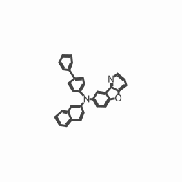 c1ccc(-c2ccc(N(c3ccc4ccccc4c3)c3ccc4oc5cccnc5c4c3)cc2)cc1